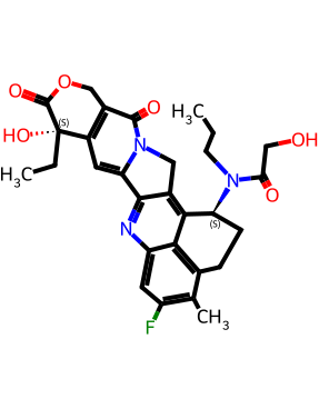 CCCN(C(=O)CO)[C@H]1CCc2c(C)c(F)cc3nc4c(c1c23)Cn1c-4cc2c(c1=O)COC(=O)[C@]2(O)CC